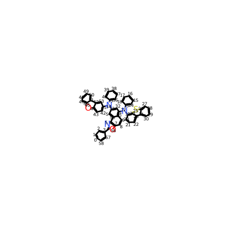 c1ccc(-c2nc3c(ccc4c(N(c5ccccc5)c5cccc6c5sc5ccccc56)cc(N(c5ccccc5)c5ccc6oc7ccccc7c6c5)cc43)o2)cc1